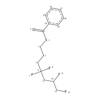 O=C(SCCCC(F)(F)CC(F)CF)c1ccccc1